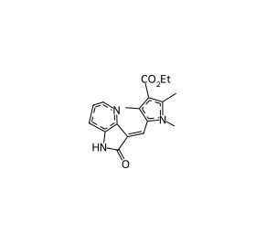 CCOC(=O)c1c(C)c(C=C2C(=O)Nc3cccnc32)n(C)c1C